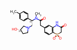 Cc1ccc([C@@H](CN2CC[C@H](O)C2)N(C)C(=O)Cc2ccc3c(c2)NC(=O)CS3(=O)=O)cc1